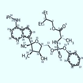 CCC(CC)COC(=O)[C@H](C)NP(=O)(OC[C@H]1O[C@@](C#N)(c2ccc3c(NC(C)C)ncnn23)[C@H](C)[C@@H]1O)Oc1ccccc1